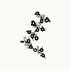 C=CCNC(=O)c1cc(I)ccc1Nc1ccc(I)cc1C.Cc1cc(I)ccc1Nc1ccc(I)cc1C(=O)N(C)c1ccccc1.Cc1cc(I)ccc1Nc1ccc(I)cc1C(=O)NC1CCCCC1.Cc1cccc(CNC(=O)c2cc(I)ccc2Nc2ccc(I)cc2C)c1.Cc1cccc(CNC(=O)c2cc([N+](=O)[O-])ccc2Nc2ccc(I)cc2C)c1